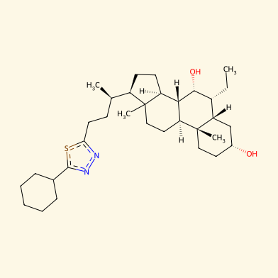 CC[C@H]1[C@@H](O)[C@H]2[C@@H]3CC[C@H]([C@H](C)CCc4nnc(C5CCCCC5)s4)C3(C)CC[C@@H]2[C@@]2(C)CC[C@@H](O)C[C@@H]12